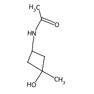 CC(=O)NC1CC(C)(O)C1